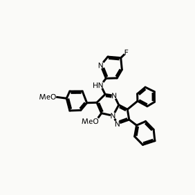 COc1ccc(-c2c(Nc3ccc(F)cn3)nc3c(-c4ccccc4)c(-c4ccccc4)nn3c2OC)cc1